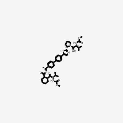 COC(=O)N[C@@H](C(C)C)C(O)N1CCC[C@H]1c1ncc(-c2ccc(-c3ccc([C@H](C)NC(=O)C4CCCCC4C(=O)N(NC(=O)OC)C(C)C)cc3)cc2)[nH]1